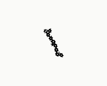 CC1(C)c2cc(-c3ccc(-c4ccc5c(c4)c4ccccc4c4nccnc54)cc3)ccc2-c2ccc(-c3ccc(-c4cccc5c4sc4ccccc45)cc3)cc21